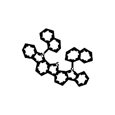 c1ccc2c(-n3c4ccccc4c4ccc5c6ccc7c8ccccc8n(-c8cccc9ccccc89)c7c6sc5c43)cccc2c1